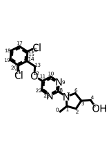 CC1CC(CO)CN1c1ncc(OCc2c(Cl)cccc2Cl)cn1